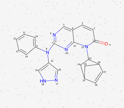 O=c1ccc2cnc(N(c3ccccc3)c3cn[nH]c3)nc2n1C1CC2C=CC1C2